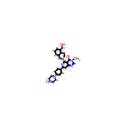 Cn1cnc2cc(-c3ccc(N4CCNCC4)cc3)nc(N3CCc4c(CO)cccc4C3)c2c1=O